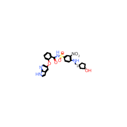 O=C(NS(=O)(=O)c1ccc(NC[C@@H]2CC[C@@H](O)C2)c([N+](=O)[O-])c1)c1ccccc1Oc1cnc2[nH]ccc2c1